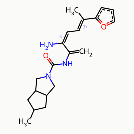 C=C(NC(=O)N1CC2CC(C)CC2C1)/C(N)=C\C=C(/C)c1ccco1